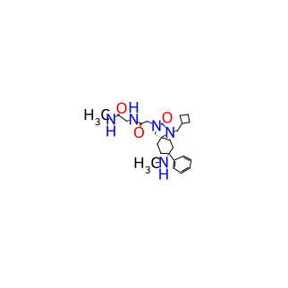 CNC(=O)CNC(=O)CN1C[C@]2(CC[C@](NC)(c3ccccc3)CC2)N(CC2CCC2)C1=O